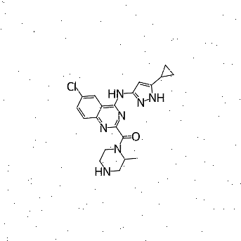 CC1CNCCN1C(=O)c1nc(Nc2cc(C3CC3)[nH]n2)c2cc(Cl)ccc2n1